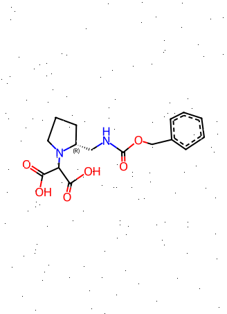 O=C(NC[C@H]1CCCN1C(C(=O)O)C(=O)O)OCc1ccccc1